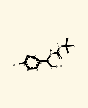 CC(C)(C)OC(=O)NC(CF)c1ccc(F)cc1